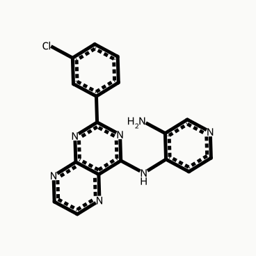 Nc1cnccc1Nc1nc(-c2cccc(Cl)c2)nc2nccnc12